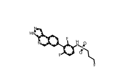 O=S(=O)(CCCF)Nc1ccc(F)c(-c2ccc3c(cnc4[nH]ncc43)c2)c1F